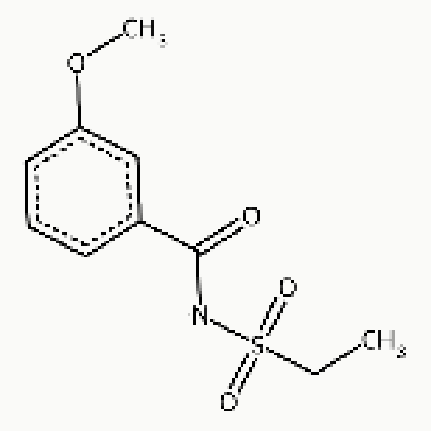 CCS(=O)(=O)[N]C(=O)c1cccc(OC)c1